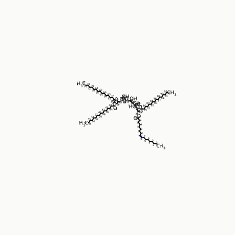 CCCCCCCC/C=C\CCCCCCCC(=O)OC[C@H](COP(=O)(O)OC[C@@H](O)COP(=O)(O)OC[C@@H](COC(=O)CCCCCCCCCCCCCCC)OC(=O)CCCCCCCCCCCCCCC)OC(=O)CCCCCCCCCCCCCCC